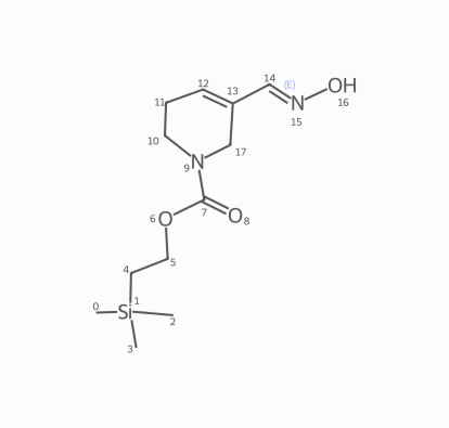 C[Si](C)(C)CCOC(=O)N1CCC=C(/C=N/O)C1